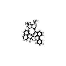 C=CC1c2ccc3cncc4c3c2C2=C(C=c3c(-c5ccccc5)cccc3=C(C2)C(C)C1C(O)COC)C4(C)C